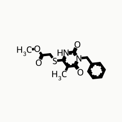 COC(=O)CSc1[nH]c(=O)n(Cc2ccccc2)c(=O)c1C